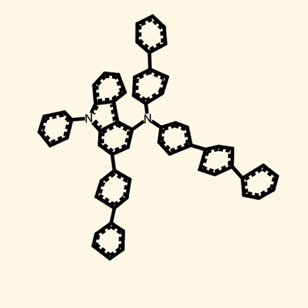 c1ccc(-c2ccc(-c3ccc(N(c4ccc(-c5ccccc5)cc4)c4cc(-c5ccc(-c6ccccc6)cc5)cc5c4c4ccccc4n5-c4ccccc4)cc3)cc2)cc1